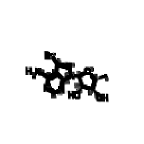 C[C@H]1O[C@@H](n2nc(Br)c3c(N)ncnc32)[C@@H](O)[C@H]1O